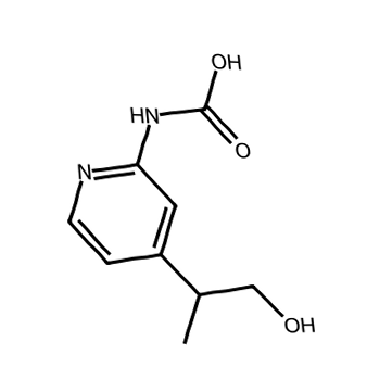 CC(CO)c1ccnc(NC(=O)O)c1